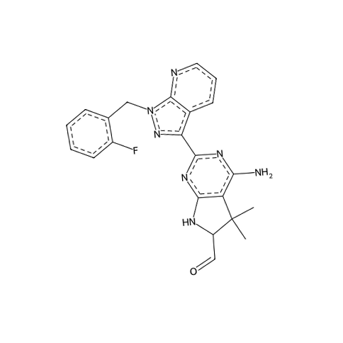 CC1(C)c2c(N)nc(-c3nn(Cc4ccccc4F)c4ncccc34)nc2NC1C=O